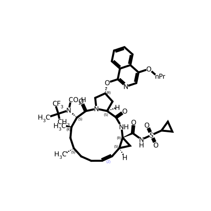 CCCOc1cnc(O[C@@H]2C[C@H]3C(=O)N[C@]4(C(=O)NS(=O)(=O)C5CC5)C[C@H]4/C=C\CC[C@H](C)C[C@@H](C)[C@H](N(C(=O)O)C(C)(C)C(F)(F)F)C(=O)N3C2)c2ccccc12